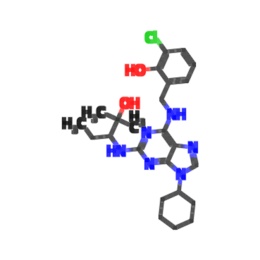 CCC(Nc1nc(NCc2cccc(Cl)c2O)c2ncn(C3CCCCC3)c2n1)C(C)(C)O